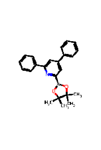 CC1(C)OB(c2cc(-c3ccccc3)cc(-c3ccccc3)n2)OC1(C)C